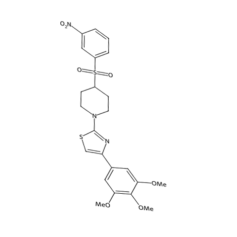 COc1cc(-c2csc(N3CCC(S(=O)(=O)c4cccc([N+](=O)[O-])c4)CC3)n2)cc(OC)c1OC